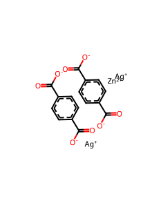 O=C([O-])c1ccc(C(=O)[O-])cc1.O=C([O-])c1ccc(C(=O)[O-])cc1.[Ag+].[Ag+].[Zn+2]